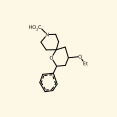 CCOC1CC(c2ccccc2)OC2(CCN(C(=O)O)CC2)C1